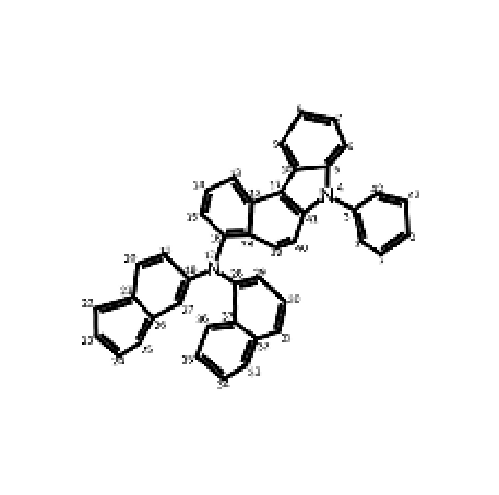 c1ccc(-n2c3ccccc3c3c4cccc(N(c5ccc6ccccc6c5)c5cccc6ccccc56)c4ccc32)cc1